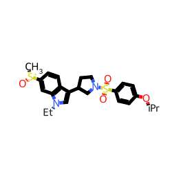 CCn1cc(C2CCN(S(=O)(=O)c3ccc(OC(C)C)cc3)C2)c2ccc([S+](C)[O-])cc21